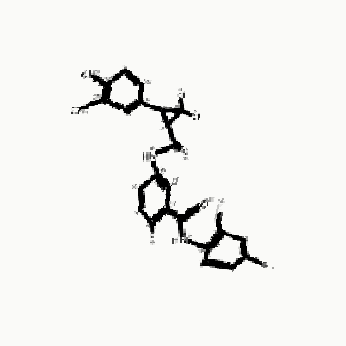 O=C(Nc1ccc(F)cc1F)c1cc(NC(=O)C2C(c3ccc(Cl)c(Cl)c3)C2(Cl)Cl)ccc1F